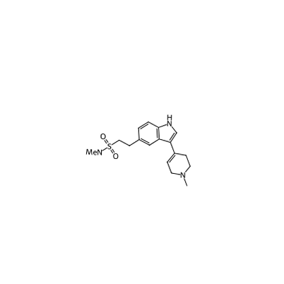 CNS(=O)(=O)CCc1ccc2[nH]cc(C3=CCN(C)CC3)c2c1